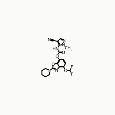 Cn1ncc(C#N)c1NC(=O)Oc1ccc(OC(F)F)c2nc(N3CCCCC3)oc12